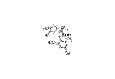 Cc1cc(O)cc(C)c1C[C@H](O)[C@@H](C)c1ccc(O)c(O)c1